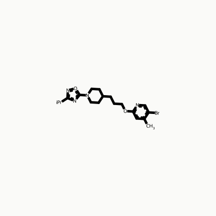 Cc1cc(OCCCC2CCN(c3nc(C(C)C)no3)CC2)ncc1Br